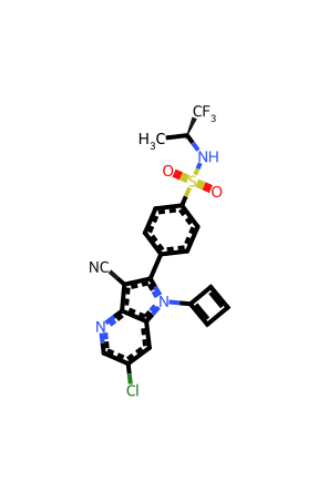 C[C@H](NS(=O)(=O)c1ccc(-c2c(C#N)c3ncc(Cl)cc3n2C2=CC=C2)cc1)C(F)(F)F